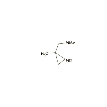 CNCC1(C)CC1.Cl